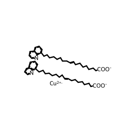 O=C([O-])CCCCCCCC=CCCCCCCCCc1cccc2cccnc12.O=C([O-])CCCCCCCC=CCCCCCCCCc1cccc2cccnc12.[Cu+2]